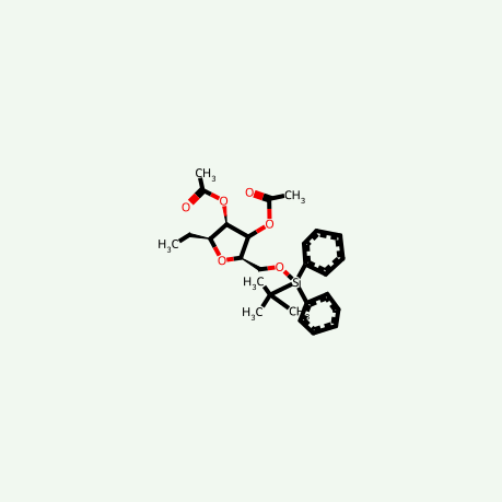 CC[C@@H]1O[C@H](CO[Si](c2ccccc2)(c2ccccc2)C(C)(C)C)C(OC(C)=O)[C@@H]1OC(C)=O